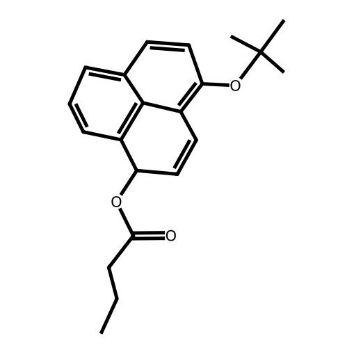 CCCC(=O)OC1C=Cc2c(OC(C)(C)C)ccc3cccc1c23